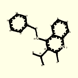 Cc1nc2ccccc2c(OCc2ccccc2)c1C(C)C